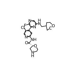 O=C(Nc1cc(-c2nc(NCC3CCOCC3)cnc2F)c(Cl)cn1)[C@H]1CNCCO1